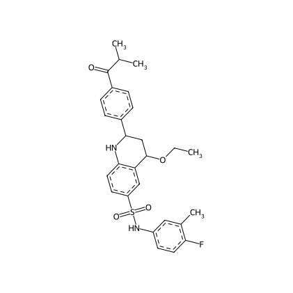 CCOC1CC(c2ccc(C(=O)C(C)C)cc2)Nc2ccc(S(=O)(=O)Nc3ccc(F)c(C)c3)cc21